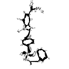 CC(NS(=O)(=O)c1ccc(-c2nc3cc(C(N)=O)ccc3[nH]2)cc1)c1ccccc1